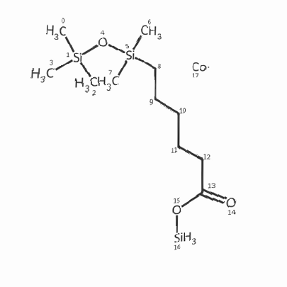 C[Si](C)(C)O[Si](C)(C)CCCCCC(=O)O[SiH3].[Co]